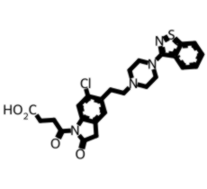 O=C(O)CCC(=O)N1C(=O)Cc2cc(CCN3CCN(c4nsc5ccccc45)CC3)c(Cl)cc21